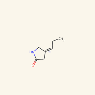 CC/C=C1\CNC(=O)C1